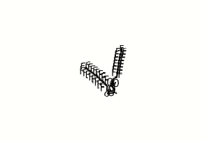 CC(COS(=O)(=O)CCC(F)(F)C(F)(F)C(F)(F)C(F)(F)C(F)(F)C(F)(F)C(F)(F)C(F)(F)F)OS(=O)(=O)CCC(F)(F)C(F)(F)C(F)(F)C(F)(F)C(F)(F)C(F)(F)C(F)(F)C(F)(F)F